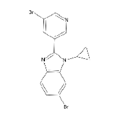 Brc1cncc(-c2nc3ccc(Br)cc3n2C2CC2)c1